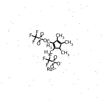 CC1=C(C)C(C)C(C)=C1C.O=S(=O)([O-])C(F)(F)F.O=S(=O)([O-])C(F)(F)F.[Ru+2]